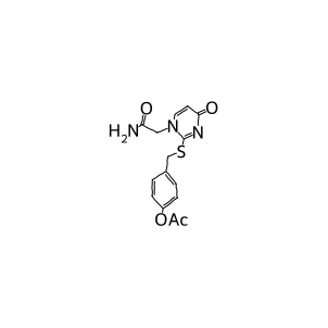 CC(=O)Oc1ccc(CSc2nc(=O)ccn2CC(N)=O)cc1